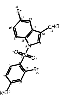 COc1ccc(S(=O)(=O)n2cc(C=O)c3cc(Br)ccc32)c(Br)c1